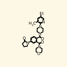 CCc1cnc(N2CCN(C(=O)c3ccc(N4CCCC4=O)cc3C(=O)N3CCOCC3)CC2)c(C)c1